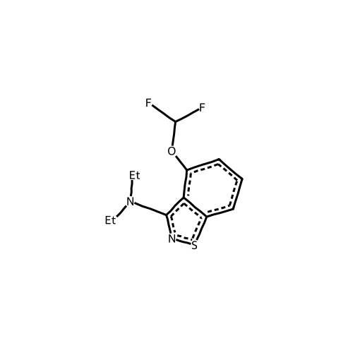 CCN(CC)c1nsc2cccc(OC(F)F)c12